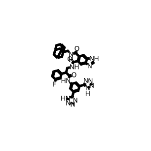 O=C(NCC(C(=O)Nc1cc(-c2nnn[nH]2)cc(-c2nnn[nH]2)c1)c1cccc(F)c1)c1cc2nc[nH]c2cc1C(=O)NCC12CC3CC(CC(C3)C1)C2